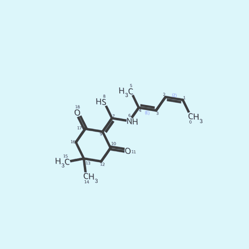 C/C=C\C=C(/C)NC(S)=C1C(=O)CC(C)(C)CC1=O